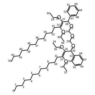 CCCCCCCCCCCCC(OCC)=C(OCC)C(OCOCOC(C(OCC)=C(CCCCCCCCCCCC)OCC)c1ccccc1)c1ccccc1